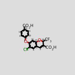 O=C(O)C1=Cc2cc(Cl)c(Oc3ccc(C(=O)O)cc3)cc2OC1C(F)(F)F